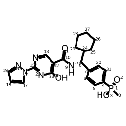 CP(=O)(O)c1ccc([C@H](NC(=O)c2cnc(-n3cccn3)nc2O)C2CCCCC2)cc1